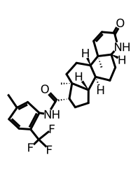 Cc1ccc(C(F)(F)F)c(NC(=O)[C@H]2CC[C@H]3[C@@H]4CC[C@H]5NC(=O)C=C[C@]5(C)[C@H]4CC[C@]23C)c1